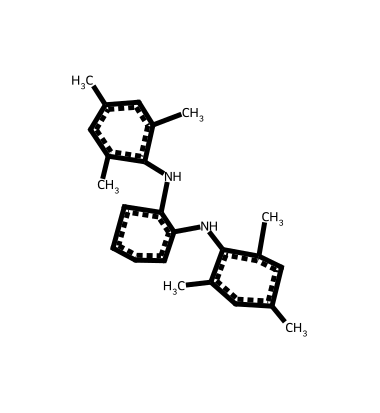 Cc1cc(C)c(Nc2ccccc2Nc2c(C)cc(C)cc2C)c(C)c1